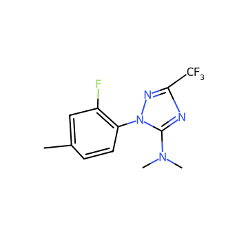 Cc1ccc(-n2nc(C(F)(F)F)nc2N(C)C)c(F)c1